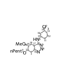 CCCCCOc1cc2nnnc(Nc3cccc(C(F)(F)F)c3)c2cc1OC